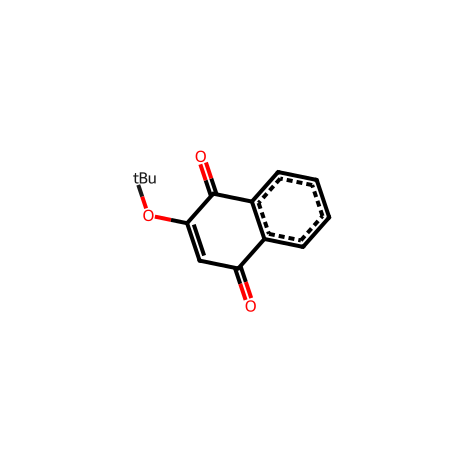 CC(C)(C)OC1=CC(=O)c2ccccc2C1=O